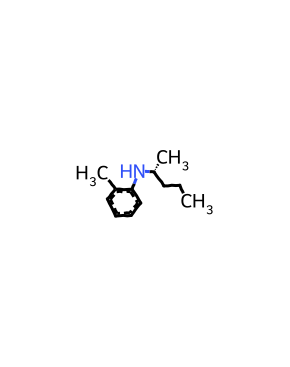 CCC[C@@H](C)Nc1ccccc1C